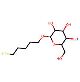 OCC1O[C@@H](OCCCCCS)C(O)[C@@H](O)[C@H]1O